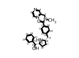 CN(Cc1cnccn1)C(=O)c1ccc(C[C@@H]2CC[C@H](C(O)c3ccccc3)N2)cc1